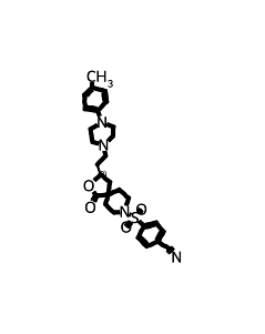 Cc1ccc(N2CCN(CC[C@H]3CC4(CCN(S(=O)(=O)c5ccc(C#N)cc5)CC4)C(=O)O3)CC2)cc1